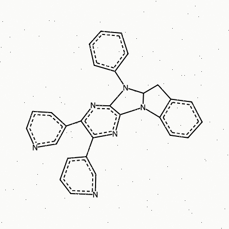 c1ccc(N2c3nc(-c4cccnc4)c(-c4cccnc4)nc3N3c4ccccc4CC23)cc1